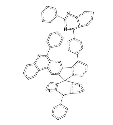 c1ccc(-c2nc(-c3ccc(-c4cccc5c4-c4cc6c(-c7ccccc7)nc7ccccc7c6cc4C54c5ccccc5N(c5ccccc5)c5ccccc54)cc3)c3ccccc3n2)cc1